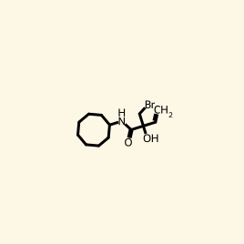 C=CC(O)(CBr)C(=O)NC1CCCCCCC1